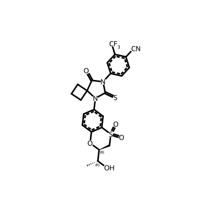 C[C@@H](O)[C@@H]1CS(=O)(=O)c2cc(N3C(=S)N(c4ccc(C#N)c(C(F)(F)F)c4)C(=O)C34CCC4)ccc2O1